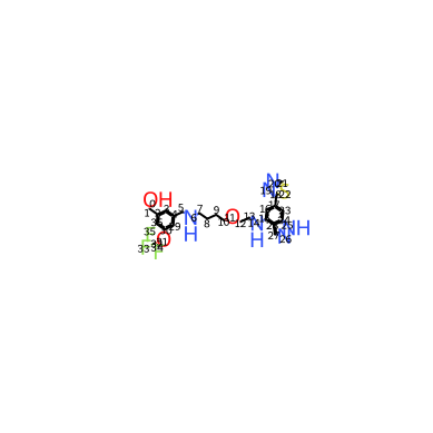 OCc1cc(CNCCCCOCCNc2cc(-c3nncs3)cc3[nH]ncc23)cc(OC(F)(F)F)c1